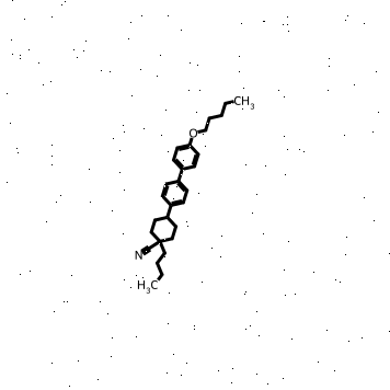 CCCCCOc1ccc(-c2ccc(C3CCC(C#N)(CCCC)CC3)cc2)cc1